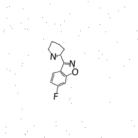 Fc1ccc2c(C3CCCC[N]3)noc2c1